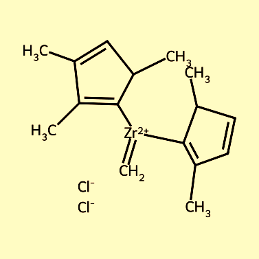 [CH2]=[Zr+2]([C]1=C(C)C=CC1C)[C]1=C(C)C(C)=CC1C.[Cl-].[Cl-]